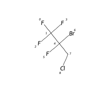 FC(F)(F)C(F)(Br)CCl